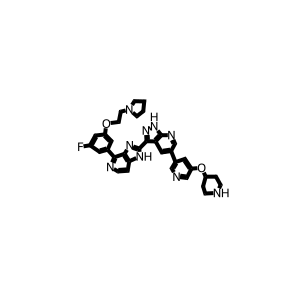 Fc1cc(OCCN2CCCC2)cc(-c2nccc3[nH]c(-c4n[nH]c5ncc(-c6cncc(OC7CCNCC7)c6)cc45)nc23)c1